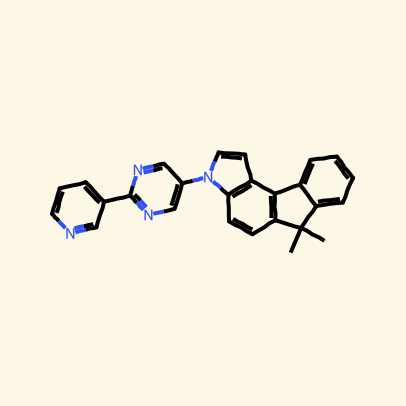 CC1(C)c2ccccc2-c2c1ccc1c2ccn1-c1cnc(-c2cccnc2)nc1